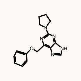 c1ccc(OCc2nc(N3CCCC3)nc3[nH]cnc23)cc1